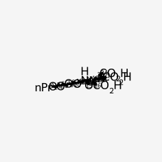 CCCOCCOCCOCCOCCNC(=O)CN(CCN(CC(=O)O)CC(=O)O)CC(=O)O